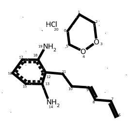 C1CCOOC1.C=CC=CCCc1c(N)cccc1N.Cl